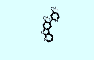 Cc1ccnc(-c2cc3c(cc2C)oc2ncccc23)c1